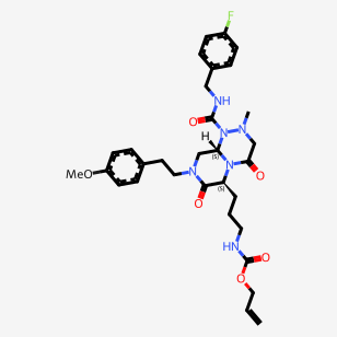 C=CCOC(=O)NCCC[C@H]1C(=O)N(CCc2ccc(OC)cc2)C[C@H]2N1C(=O)CN(C)N2C(=O)NCc1ccc(F)cc1